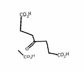 CC(=O)O.O=C(O)CCC(=O)CCC(=O)O